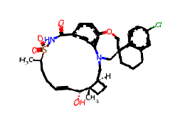 C[C@@H]1CC/C=C/[C@@H](O)[C@@]2(C)CC[C@@H]2CN2C[C@@]3(CCCc4cc(Cl)ccc43)COc3ccc(cc32)C(=O)NS1(=O)=O